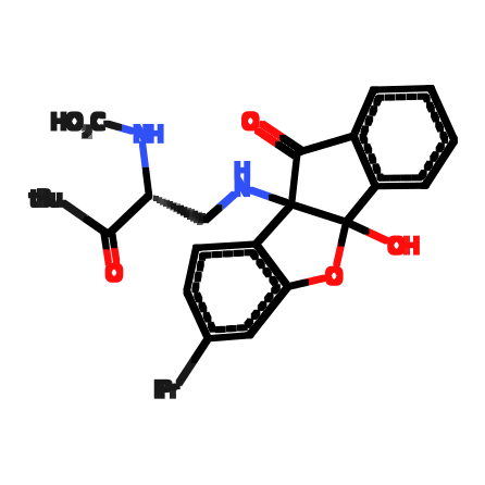 CC(C)c1ccc2c(c1)OC1(O)c3ccccc3C(=O)C21NC[C@@H](NC(=O)O)C(=O)C(C)(C)C